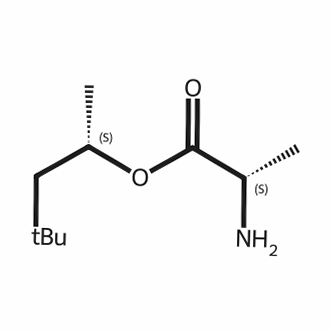 C[C@H](N)C(=O)O[C@@H](C)CC(C)(C)C